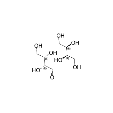 O=C[C@H](O)[C@@H](O)CO.OC[C@@H](O)[C@H](O)CO